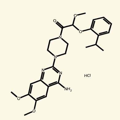 COc1cc2nc(N3CCN(C(=O)C(OC)Oc4ccccc4C(C)C)CC3)nc(N)c2cc1OC.Cl